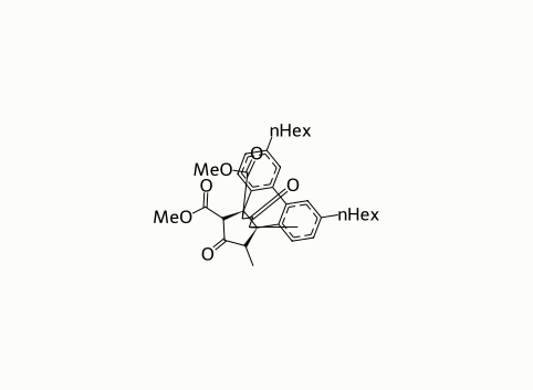 CCCCCCc1ccc2c(c1)-c1cc(CCCCCC)ccc1[C@]13C(C(=O)OC)C(=O)C(C)[C@]21C(C)C(=O)C3C(=O)OC